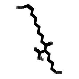 CCCCCCCC/C=C\CCCCCCCC(=O)C(CCCCCCCCCCCCCC)C(N)=O